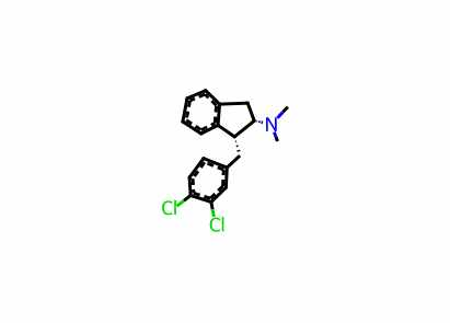 CN(C)[C@H]1Cc2ccccc2[C@H]1Cc1ccc(Cl)c(Cl)c1